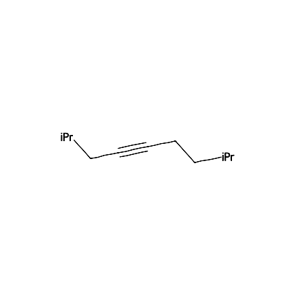 [CH2]C(C)CCC#CCC(C)C